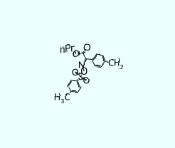 CCCOC(=O)/C(=N/OS(=O)(=O)c1ccc(C)cc1)c1ccc(C)cc1